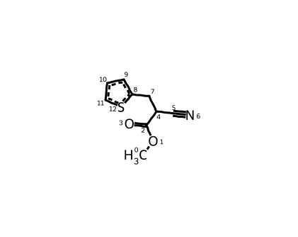 COC(=O)C(C#N)Cc1cccs1